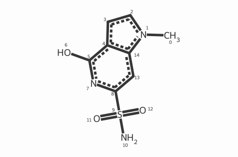 Cn1ccc2c(O)nc(S(N)(=O)=O)cc21